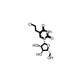 O=c1[nH]c(=O)n([C@@H]2O[C@H](CO)[C@@H](O)[C@H]2O)cc1CCCl